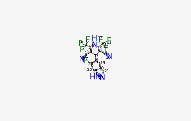 N#CC1=C(C(F)(F)F)NC(C(F)(F)F)=C(C#N)C1c1cc2cn[nH]c2cc1F